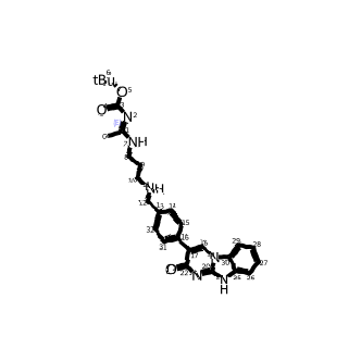 C/C(=N\C(=O)OC(C)(C)C)NCCCNCc1ccc(-c2cn3c(nc2=O)[nH]c2ccccc23)cc1